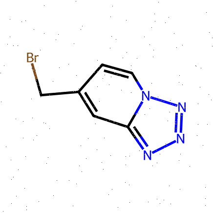 BrCc1ccn2nnnc2c1